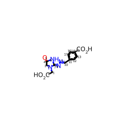 O=C(O)CN1CC(=O)N/C1=N\N=C\c1ccc(C(=O)O)cc1